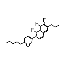 CCCCCC1CC=C(c2ccc3cc(CCC)c(F)c(F)c3c2F)CO1